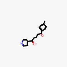 Cc1ccc(C(=O)CCCC(=O)c2ccncc2)cc1